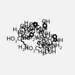 CC(C)[C@H](NC(=O)[C@H](Cc1ccc(O)cc1)NC(=O)[C@H](Cc1ccccc1)NC(=O)[C@H](Cc1ccc(O)cc1)NC(=O)[C@@H](NC(=O)[C@@H]1CCCN1C(=O)[C@H](CCC(=O)O)NC(=O)[C@@H](NC(=O)[C@@H](N)Cc1c[nH]c2ccccc12)[C@@H](C)O)[C@@H](C)O)C(=O)N[C@H](C(=O)N[C@@H](CC(=O)O)C(=O)N[C@@H](CCCCN)C(=O)O)[C@@H](C)O